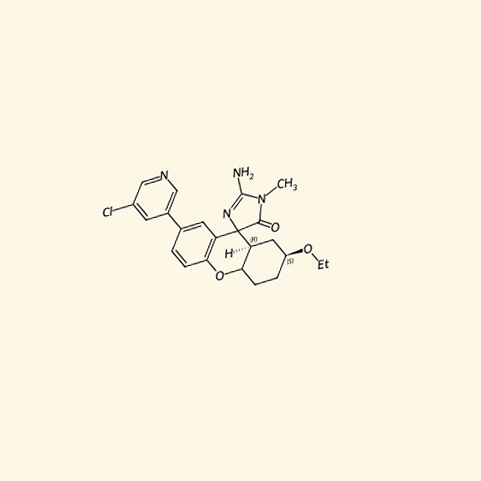 CCO[C@H]1CCC2Oc3ccc(-c4cncc(Cl)c4)cc3C3(N=C(N)N(C)C3=O)[C@H]2C1